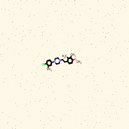 COc1ccc(CCN2CCN(c3ccc(Cl)c(C)c3)CC2)c(C)c1C